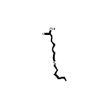 CC/C=C\CCCCCCCCCC(=O)O